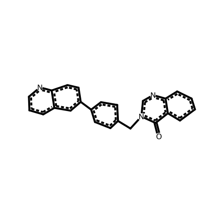 O=c1c2ccccc2ncn1Cc1ccc(-c2ccc3ncccc3c2)cc1